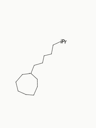 CC(C)CCCCC[C]1CCCCCCC1